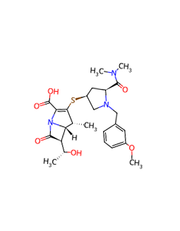 COc1cccc(CN2C[C@@H](SC3=C(C(=O)O)N4C(=O)[C@H]([C@@H](C)O)[C@H]4[C@H]3C)C[C@H]2C(=O)N(C)C)c1